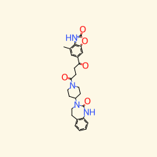 Cc1cc(C(=O)CCC(=O)N2CCC(N3CCc4ccccc4NC3=O)CC2)cc2oc(=O)[nH]c12